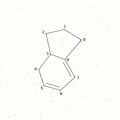 [CH]1CCC2CC=CC=C12